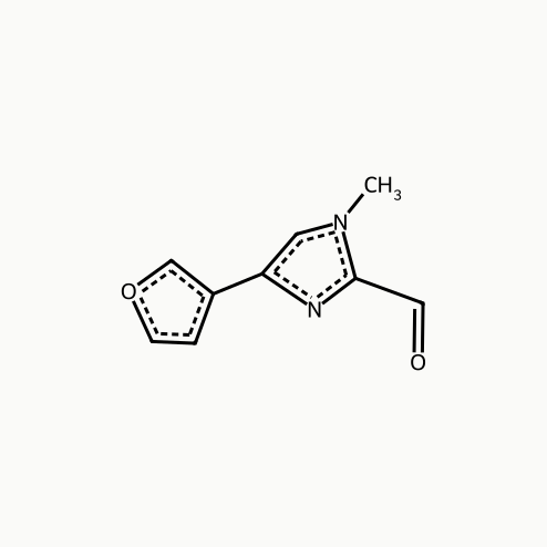 Cn1cc(-c2ccoc2)nc1C=O